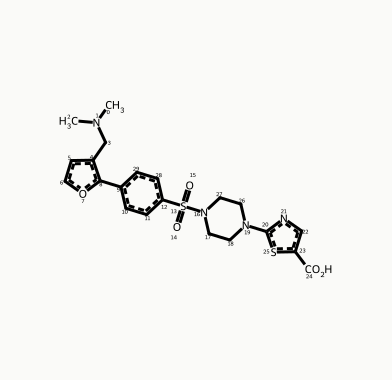 CN(C)Cc1ccoc1-c1ccc(S(=O)(=O)N2CCN(c3ncc(C(=O)O)s3)CC2)cc1